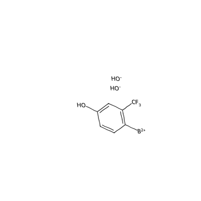 [B+2]c1ccc(O)cc1C(F)(F)F.[OH-].[OH-]